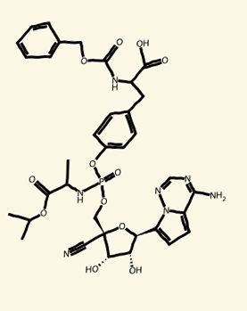 CC(C)OC(=O)C(C)NP(=O)(OC[C@@]1(C#N)O[C@@H](c2ccc3c(N)ncnn23)[C@H](O)[C@@H]1O)Oc1ccc(CC(NC(=O)OCc2ccccc2)C(=O)O)cc1